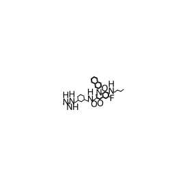 CCCCNc1c(F)cc2c(=O)c(C(=O)NCC3CCCC(CNC(=N)NC)C3)cn3c2c1Oc1cc2ccccc2cc1-3